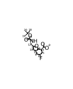 COC(=O)c1cc(F)cc2cc(CNC(=O)OC(C)(C)C)oc12